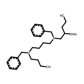 CSC(CCC#N)CN(CCCCN(CCCC#N)Cc1ccccc1)Cc1ccccc1